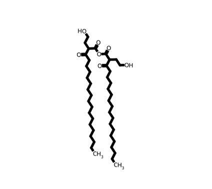 CCCCCCCCCCCCCCCCCC(=O)C(CCO)C(=O)OC(=O)C(CCO)C(=O)CCCCCCCCCCCCCCCCC